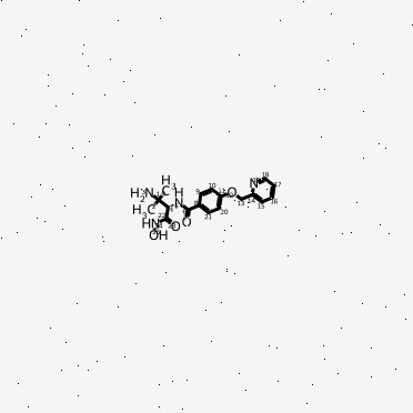 CC(C)(N)[C@H](NC(=O)c1ccc(OCc2ccccn2)cc1)C(=O)NO